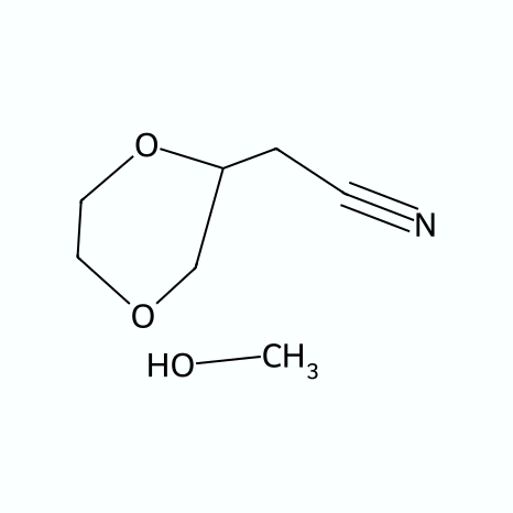 CO.N#CCC1COCCO1